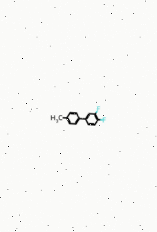 Cc1ccc(-c2ccc(F)c(F)c2)cc1